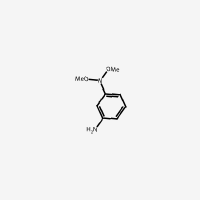 CON(OC)c1cccc(N)c1